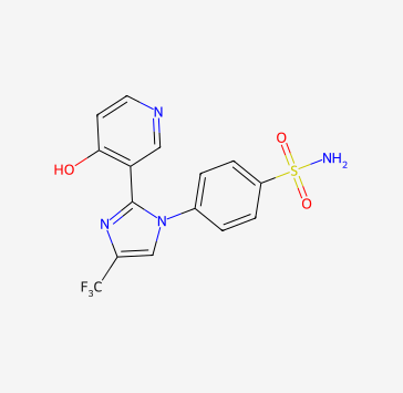 NS(=O)(=O)c1ccc(-n2cc(C(F)(F)F)nc2-c2cnccc2O)cc1